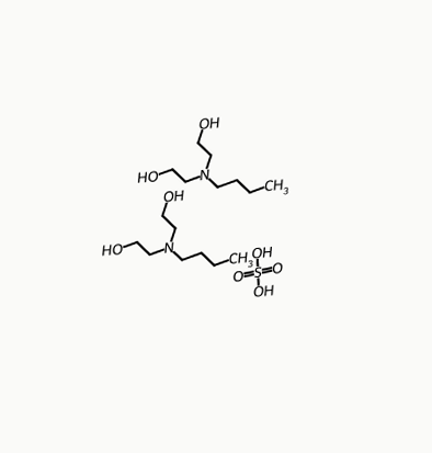 CCCCN(CCO)CCO.CCCCN(CCO)CCO.O=S(=O)(O)O